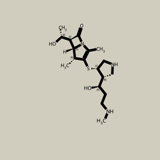 CNCC[C@@H](O)[C@H]1CNC[C@H]1SC1=C(C)N2C(=O)[C@H]([C@@H](C)O)[C@H]2[C@H]1C